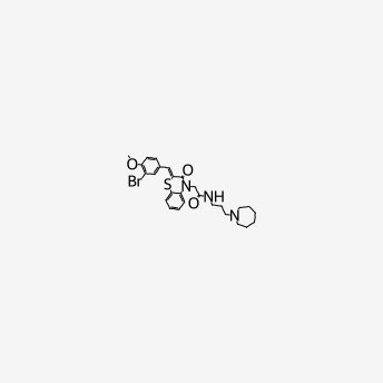 COc1ccc(C=C2Sc3ccccc3N(CC(=O)NCCCN3CCCCCC3)C2=O)cc1Br